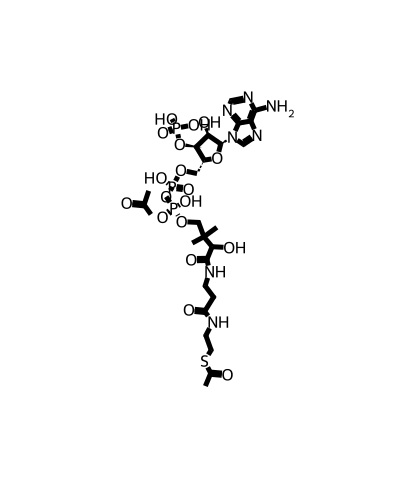 CC(=O)SCCNC(=O)CCNC(=O)C(O)C(C)(C)COP(=O)(O)OP(=O)(O)OC[C@H]1O[C@@H](n2cnc3c(N)ncnc32)[C@H](O)[C@@H]1OP(=O)(O)O.CC(C)=O